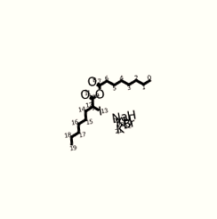 CCCCCCCC(=O)OC(=O)[C](I)CCCCCC.[KH].[K][Br].[NaH]